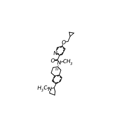 CN1CCCC1c1ccc2c(c1)CC[C@H](N(C)C(=O)c1ccc(OCC3CC3)cn1)C2